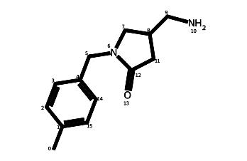 Cc1ccc(CN2CC(CN)CC2=O)cc1